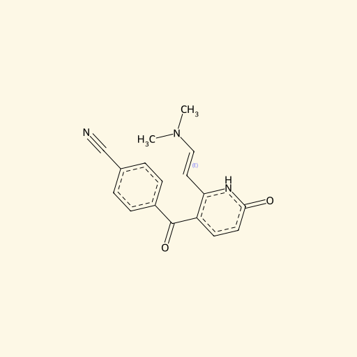 CN(C)/C=C/c1[nH]c(=O)ccc1C(=O)c1ccc(C#N)cc1